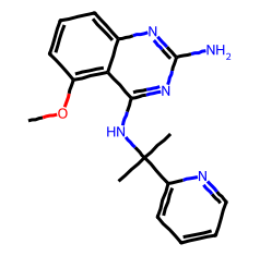 COc1cccc2nc(N)nc(NC(C)(C)c3ccccn3)c12